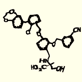 C[C@@](CO)(NCc1ccc(OCc2cccc(-c3ccc4c(c3)OCCO4)c2Cl)cc1OCc1cccc(C#N)c1)C(=O)O